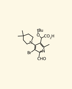 Cc1nc(C=O)c(Br)c(N2CCC(C)(C)CC2)c1C(OC(C)(C)C)C(=O)O